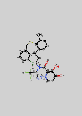 Cc1cccc2c1SCc1cccc(Cl)c1[C@@H]2CCN(C(=O)c1c(O)c(=O)ccn1N)[C@H](C)C(F)(F)F